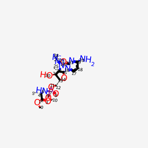 COC(=O)[C@H](C)NP(=O)(OC)OC[C@H]1O[C@@H](n2ccc(N)nc2=O)[C@](C)(N=[N+]=[N-])[C@@H]1O